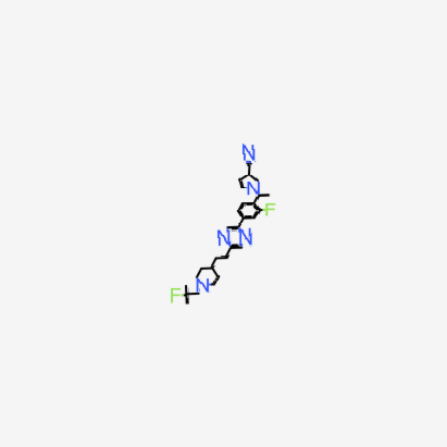 C=C(c1ccc(-c2cnc(CCC3CCN(CC(C)(C)F)CC3)cn2)cc1F)N1CCC(C#N)C1